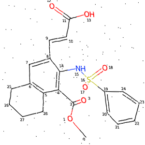 COC(=O)c1c2c(cc(C=CC(=O)O)c1NS(=O)(=O)c1ccccc1)CCCC2